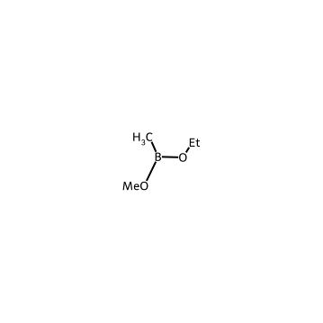 CCOB(C)OC